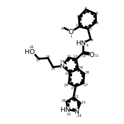 COc1ccccc1CNC(=O)c1cn(CCCO)c2cc(-c3cn[nH]c3)ccc12